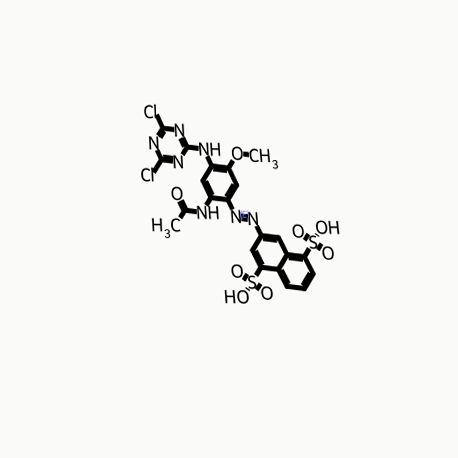 COc1cc(/N=N/c2cc(S(=O)(=O)O)c3cccc(S(=O)(=O)O)c3c2)c(NC(C)=O)cc1Nc1nc(Cl)nc(Cl)n1